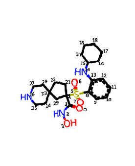 O=C(NO)C1(S(=O)(=O)c2ccccc2NC2CCCCC2)CCC2(CCNCC2)C1